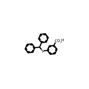 O=C(O)c1cccc(SC(c2ccccc2)c2ccccc2)c1